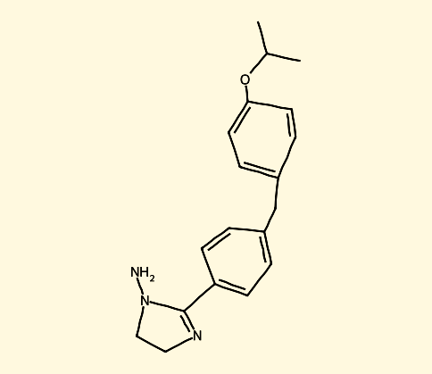 CC(C)Oc1ccc(Cc2ccc(C3=NCCN3N)cc2)cc1